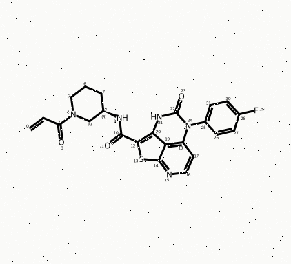 C=CC(=O)N1CCC[C@@H](NC(=O)c2sc3nccc4c3c2NC(=O)N4c2ccc(F)cc2)C1